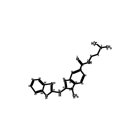 CN(C)CCNC(=O)c1ccc2c(c1)nc(Nc1nc3ccccc3o1)n2C